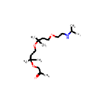 CC(=O)COC(C)(C)CCOC(C)(C)CCOCCNC(C)C